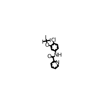 O=C(Nc1ccc(Cl)c(OC(I)(I)I)c1)c1ccccn1